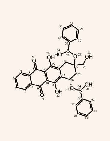 O=C1c2ccccc2C(=O)c2c(O)c3c(c(O)c21)C[C@](CO)(OB(O)c1ccccc1)C[C@@H]3OB(O)c1ccccc1